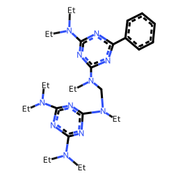 CCN(CC)c1nc(-c2ccccc2)nc(N(CC)CN(CC)c2nc(N(CC)CC)nc(N(CC)CC)n2)n1